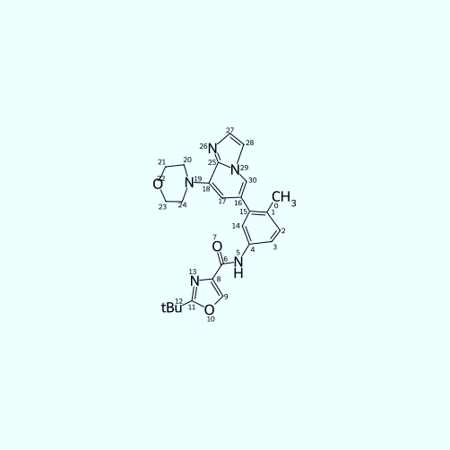 Cc1ccc(NC(=O)c2coc(C(C)(C)C)n2)cc1-c1cc(N2CCOCC2)c2nccn2c1